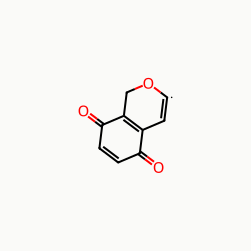 O=C1C=CC(=O)C2=C1C=[C]OC2